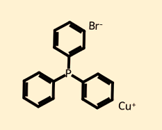 [Br-].[Cu+].c1ccc(P(c2ccccc2)c2ccccc2)cc1